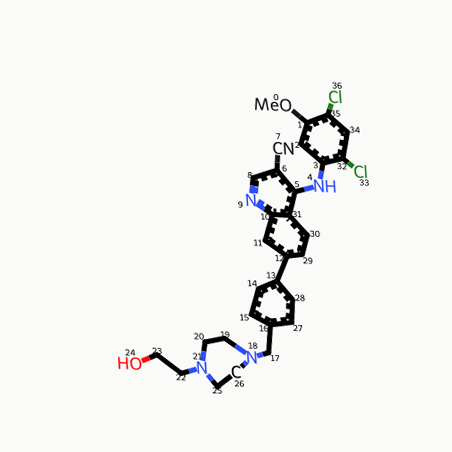 COc1cc(Nc2c(C#N)cnc3cc(-c4ccc(CN5CCN(CCO)CC5)cc4)ccc23)c(Cl)cc1Cl